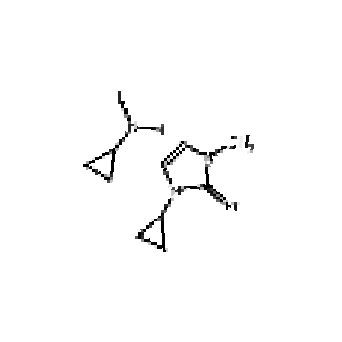 Cn1ccn(C2CC2)[c]1=[Pt].IN(I)C1CC1